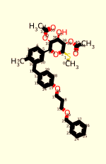 CS[C@H]1O[C@@H](c2ccc(C)c(Cc3ccc(OCCCOCc4ccccc4)cc3)c2)[C@H](OC(C)=O)[C@@H](O)[C@@H]1OC(C)=O